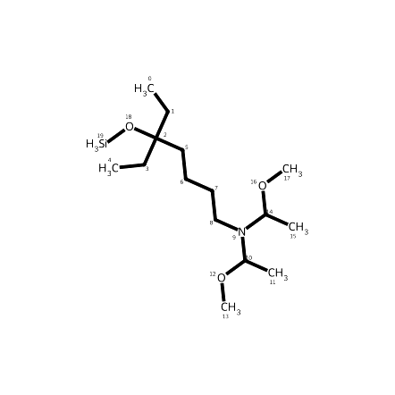 CCC(CC)(CCCCN(C(C)OC)C(C)OC)O[SiH3]